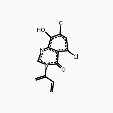 C=CC(=C)n1cnc2c(O)c(Cl)cc(Cl)c2c1=O